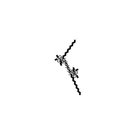 CCCCCCCCCCCC(SSSSSSSSC(CCCCCCCCCCC)[Si](OCC)(OCC)OCC)[Si](OCC)(OCC)OCC